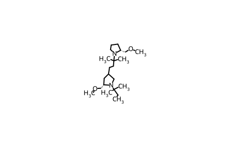 CCC(C)(C)N1CC(CCC(C)(C)N2CCC[C@@H]2COC)C[C@H]1COC